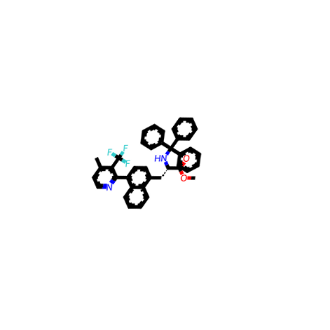 COC(=O)[C@H](Cc1ccc(-c2nccc(C)c2C(F)(F)F)c2ccccc12)NC(c1ccccc1)(c1ccccc1)c1ccccc1